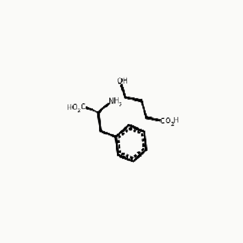 N[C@@H](Cc1ccccc1)C(=O)O.O=C(O)CCCO